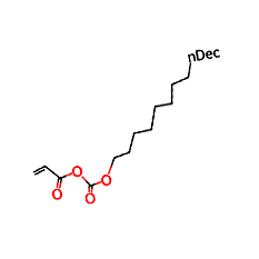 C=CC(=O)OC(=O)OCCCCCCCCCCCCCCCCCC